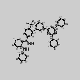 CC1(C)c2ccc(C(=N)c3ccccc3Nc3ccccc3)cc2-c2cc(-c3nc(-c4ccccc4)nc(-c4ccccc4)n3)ccc21